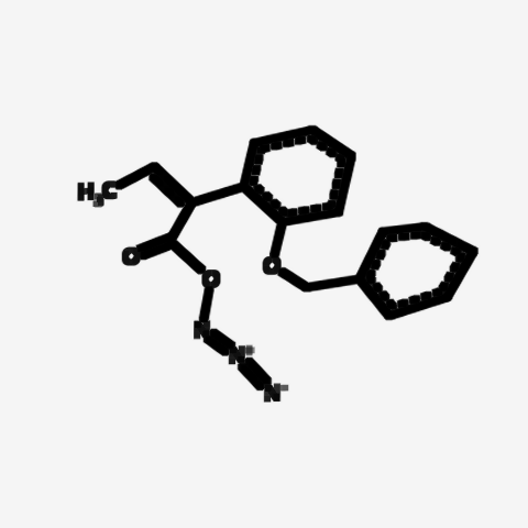 CC=C(C(=O)ON=[N+]=[N-])c1ccccc1OCc1ccccc1